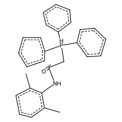 Cc1cccc(C)c1NC(=O)C[PH](c1ccccc1)(c1ccccc1)c1ccccc1